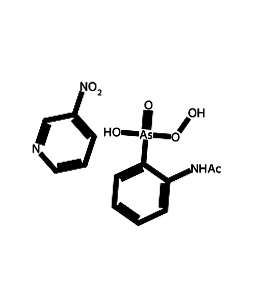 CC(=O)Nc1ccccc1[As](=O)(O)OO.O=[N+]([O-])c1cccnc1